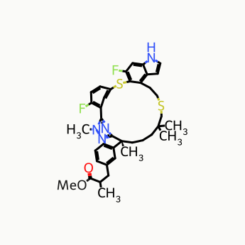 COC(=O)C(C)Cc1cccc([C@@]2(C)CCCC(C)(C)CSCCc3c(c(F)cc4[nH]ccc34)Sc3ccc(F)c(c3)-c3nc2nn3C)c1